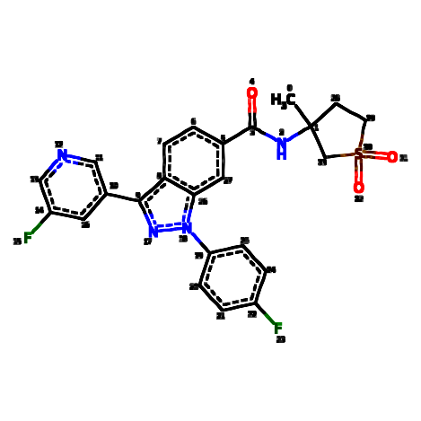 CC1(NC(=O)c2ccc3c(-c4cncc(F)c4)nn(-c4ccc(F)cc4)c3c2)CCS(=O)(=O)C1